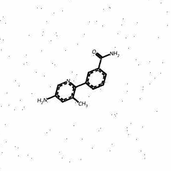 Cc1cc(N)cnc1-c1cccc(C(N)=O)c1